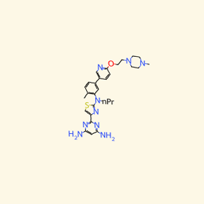 CCCN(c1nc(-c2nc(N)cc(N)n2)cs1)c1cc(-c2ccc(OCCN3CCN(C)CC3)nc2)ccc1C